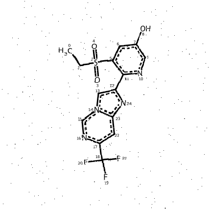 CCS(=O)(=O)c1cc(O)cnc1-c1cn2cnc(C(F)(F)F)cc2n1